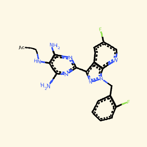 CC(=O)CNc1c(N)nc(-c2nn(Cc3ccccc3F)c3ncc(F)cc23)nc1N